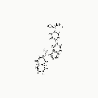 NC(=O)c1ccc(-c2ccc3nnc(C(F)c4ccc5ncccc5c4)n3n2)cc1